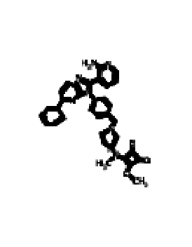 COc1c(N(C)[C@H]2CCN(Cc3ccc(-n4c(-c5cccnc5N)nc5ccc(-c6ccccc6)nc54)cc3)C2)c(=O)c1=O